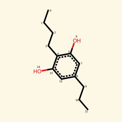 CCCCc1c(O)cc(CCC)cc1O